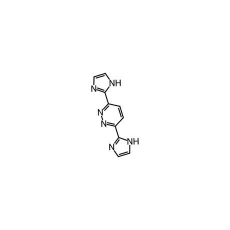 c1c[nH]c(-c2ccc(-c3ncc[nH]3)nn2)n1